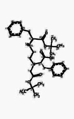 CC(C)(C)OC(=O)CN(CCN[C@@H](Cc1ccccc1)C(=O)OC(C)(C)C)[C@@H](Cc1ccccc1)C(=O)O